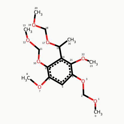 COCOc1cc(OC)c(OCOC)c(C(C)OCOC)c1OC